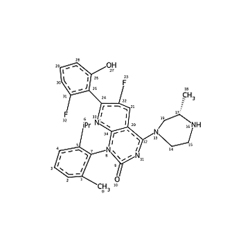 Cc1cccc(C(C)C)c1-n1c(=O)nc(N2CCN[C@@H](C)C2)c2cc(F)c(-c3c(O)cccc3F)nc21